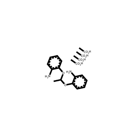 CC(=O)O.CC(=O)O.CC(=O)O.CC(=O)O.CC(Oc1ccccc1N)Oc1ccccc1N